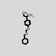 CCC(C)c1ccc(OCOCC2CCCCC2)cc1